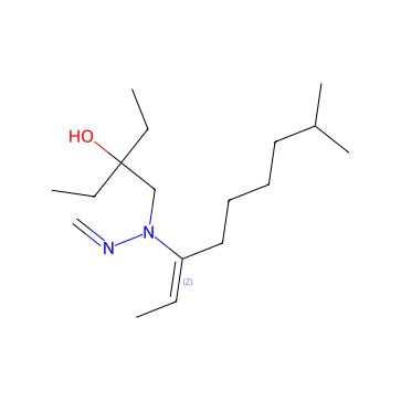 C=NN(CC(O)(CC)CC)/C(=C\C)CCCCC(C)C